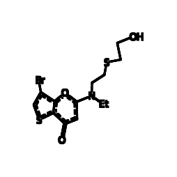 CCN(CCSCCO)c1cc(=O)c2scc(Br)c2o1